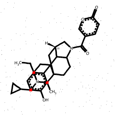 CCc1ccc(O)cc1C12CCN(CC3CC3)C(C)C13CCC1C2[C@@H](CN1C(=O)c1ccc(=O)oc1)C3